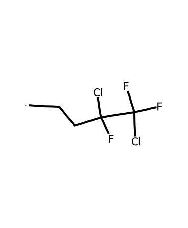 [CH2]CCC(F)(Cl)C(F)(F)Cl